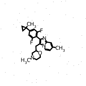 Cc1ccn2c(CC3CN(C)CCO3)c(-c3c(F)cc(C4(C)CC4)cc3F)nc2c1